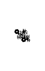 CN(C)C(=O)c1cccc(Nc2nc3c(nc2Nc2ccccc2)=NCN=3)c1O